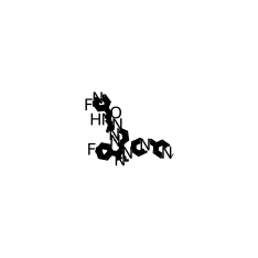 CN1CCC(CN2CCC(n3cnc(-c4ccc(F)cc4)c3-c3ccc4nc(NC(=O)c5ccnc(F)c5)cn4n3)CC2)CC1